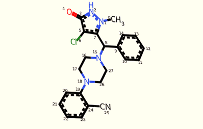 Cn1[nH]c(=O)c(Cl)c1C(c1ccccc1)N1CCN(c2ccccc2C#N)CC1